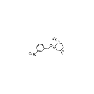 CC(C)[C@@H]1CC[C@@H](C)C[C@H]1OCc1cccc(C=O)c1